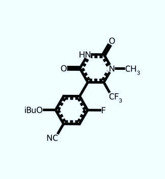 CC(C)COc1cc(-c2c(C(F)(F)F)n(C)c(=O)[nH]c2=O)c(F)cc1C#N